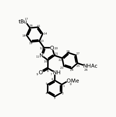 COc1ccccc1NC(=O)c1nc(-c2ccc(C(C)(C)C)cc2)oc1-c1ccc(NC(C)=O)cc1